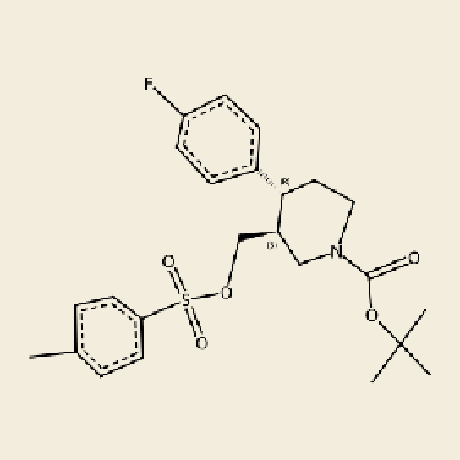 Cc1ccc(S(=O)(=O)OC[C@@H]2CN(C(=O)OC(C)(C)C)CC[C@H]2c2ccc(F)cc2)cc1